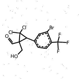 O=CC1(CO)C(c2ccc(C(F)(F)F)c(Br)c2)C1(Cl)Cl